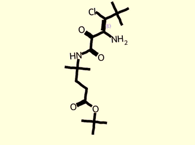 CC(C)(CCC(=O)OC(C)(C)C)NC(=O)C(=O)/C(N)=C(\Cl)C(C)(C)C